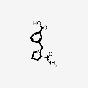 NC(=O)[C@H]1CCCN1Cc1cccc(C(=O)O)c1